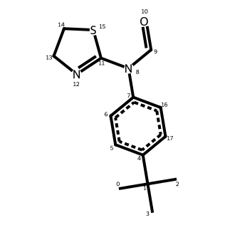 CC(C)(C)c1ccc(N(C=O)C2=NCCS2)cc1